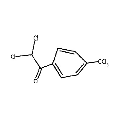 O=C(c1ccc(C(Cl)(Cl)Cl)cc1)C(Cl)Cl